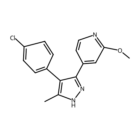 COc1cc(-c2n[nH]c(C)c2-c2ccc(Cl)cc2)ccn1